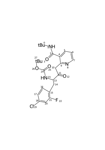 CC(C)(C)NC(=O)c1cccnc1CC(=O)C(Cc1ccc(Cl)cc1F)NC(=O)OC(C)(C)C